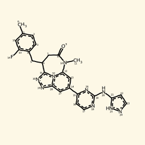 Cc1ccc(CC2CC(=O)N(C)c3cc(-c4ccnc(Nc5ccn[nH]5)n4)cc4nnc2n34)c(F)c1